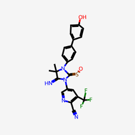 CC1(C)C(=N)N(c2cnc(C#N)c(C(F)(F)F)c2)C(=S=O)N1c1ccc(-c2ccc(O)cc2)cc1